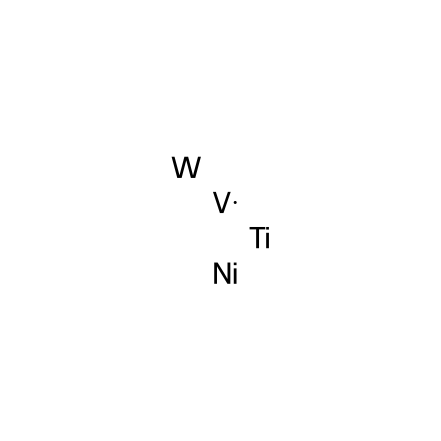 [Ni].[Ti].[V].[W]